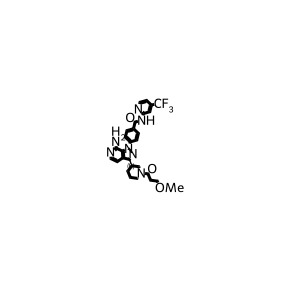 COCCC(=O)N1CCC[C@@H](c2nn(-c3ccc(C(=O)Nc4cc(C(F)(F)F)ccn4)cc3)c3c(N)nccc23)C1